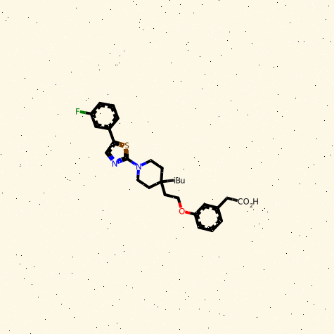 CCC(C)C1(CCOc2cccc(CC(=O)O)c2)CCN(c2ncc(-c3cccc(F)c3)s2)CC1